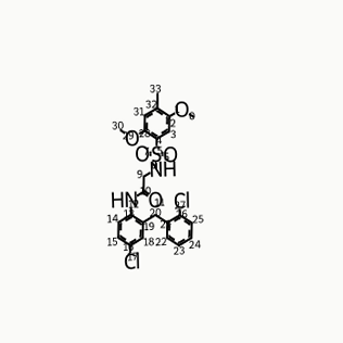 COc1cc(S(=O)(=O)NCC(=O)Nc2ccc(Cl)cc2Cc2ccccc2Cl)c(OC)cc1C